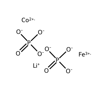 O=P([O-])([O-])[O-].O=P([O-])([O-])[O-].[Co+2].[Fe+3].[Li+]